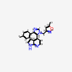 Cc1ccc(-c2ncn(Cc3cc(C)on3)c2-c2ccnc3[nH]ccc23)cc1